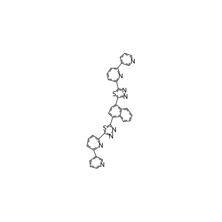 c1cncc(-c2cccc(-c3nnc(-c4ccc(-c5nnc(-c6cccc(-c7cccnc7)n6)s5)c5ccccc45)s3)n2)c1